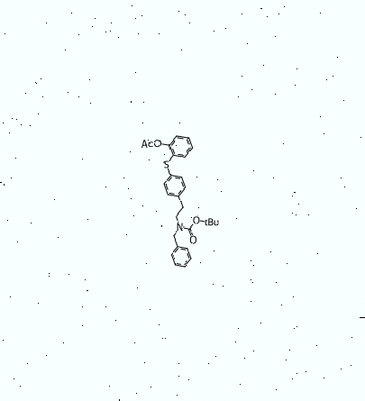 CC(=O)Oc1ccccc1Sc1ccc(CCN(Cc2ccccc2)C(=O)OC(C)(C)C)cc1